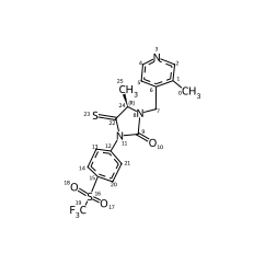 Cc1cnccc1CN1C(=O)N(c2ccc(S(=O)(=O)C(F)(F)F)cc2)C(=S)[C@H]1C